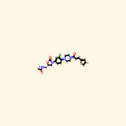 CC(=O)NC[C@H]1CN(c2ccc(N3CCN(C(=O)C=Cc4cccs4)CC3)c(F)c2)C(=O)O1